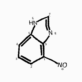 O=Nc1cccc2[nH][c]nc12